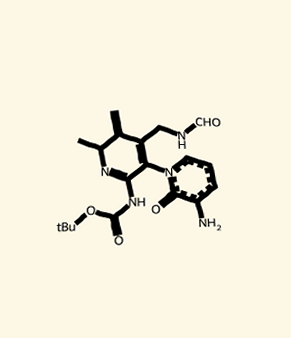 C=C1C(CNC=O)=C(n2cccc(N)c2=O)C(NC(=O)OC(C)(C)C)=NC1C